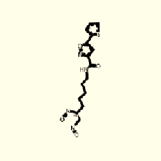 O=NC[C@H](CCCCCNC(=O)c1cc(-c2cccs2)on1)N=O